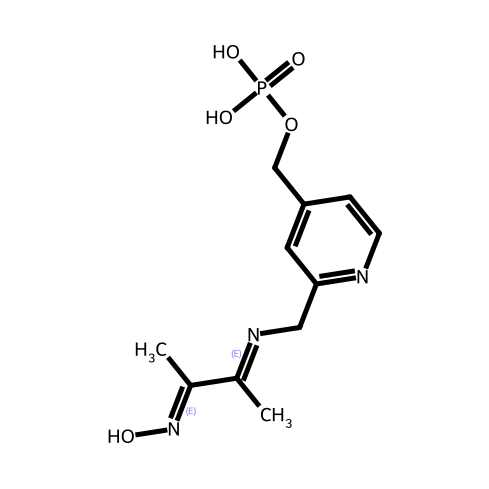 CC(=N\O)/C(C)=N/Cc1cc(COP(=O)(O)O)ccn1